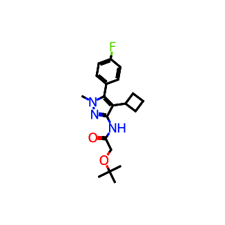 Cn1nc(NC(=O)COC(C)(C)C)c(C2CCC2)c1-c1ccc(F)cc1